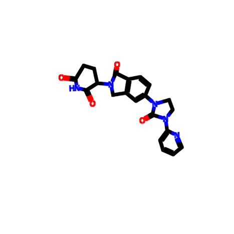 O=C1CCC(N2Cc3cc(N4CCN(c5ccccn5)C4=O)ccc3C2=O)C(=O)N1